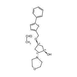 CC=O.O[C@@H]1C[C@H](OCc2ccc(-c3ccccc3)s2)C[C@H]1N1CCOCC1